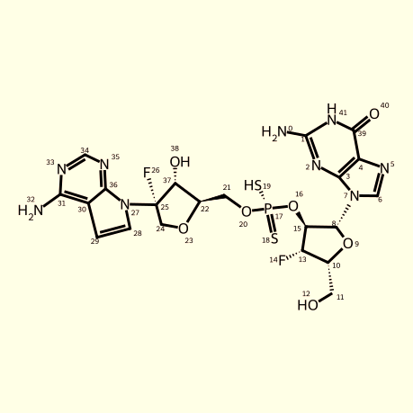 Nc1nc2c(ncn2[C@@H]2O[C@H](CO)[C@H](F)[C@H]2O[P@](=S)(S)OC[C@H]2OC[C@@](F)(n3ccc4c(N)ncnc43)[C@@H]2O)c(=O)[nH]1